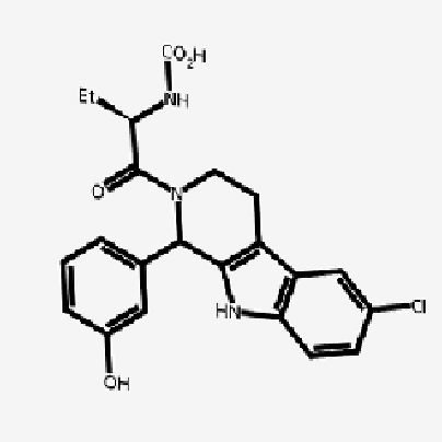 CC[C@@H](NC(=O)O)C(=O)N1CCc2c([nH]c3ccc(Cl)cc23)C1c1cccc(O)c1